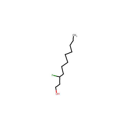 CCCCCCCCC(F)CCO